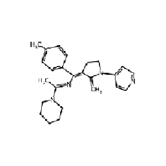 C=C1/C(=C(\N=C(/C)N2CCCCC2)c2ccc(C)cc2)CCN1c1ccncc1